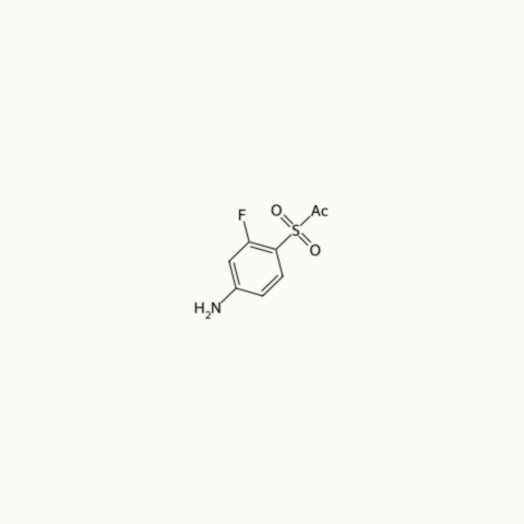 CC(=O)S(=O)(=O)c1ccc(N)cc1F